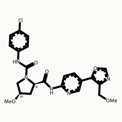 COCc1ncoc1-c1ccc(NC(=O)[C@H]2C[C@@H](OC)CN2C(=O)Nc2ccc(Cl)cc2)nc1